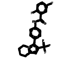 O=C(Nc1ccc(-c2c(C(F)(F)F)cc3n2CCCC3)cc1)c1cc(F)ccc1F